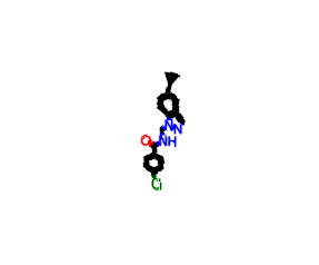 O=C(NCn1ncc2cc(C3CC3)ccc21)c1ccc(Cl)cc1